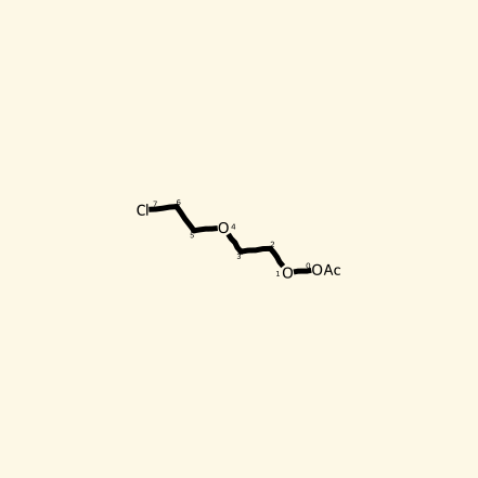 CC(=O)OOCCOCCCl